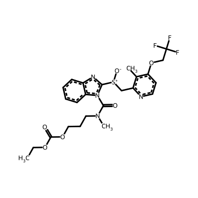 CCOC(=O)OCCCN(C)C(=O)n1c([S+]([O-])Cc2nccc(OCC(F)(F)F)c2C)nc2ccccc21